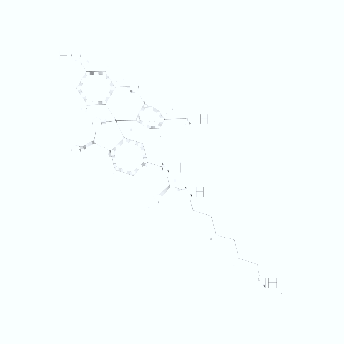 NCCCCCCNC(=S)Nc1ccc2c(c1)C1(OC2=O)c2ccc(O)cc2Oc2cc(O)ccc21